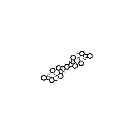 Cc1ccc2c(oc3ccccc32)c1N(c1ccccc1)c1cccc2c1c1cccc3c4cc5c(cc4n2c31)c1cccc2c3c(N(c4ccccc4)c4c(C)ccc6c4oc4ccccc46)cccc3n5c12